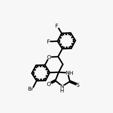 O=C1NC(=S)NC12CC(c1cccc(F)c1F)Oc1ccc(Br)cc12